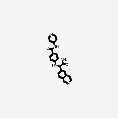 NC(=O)C(Nc1ccc(C(=O)Nc2ccncc2)cc1)c1ccc2cnccc2c1